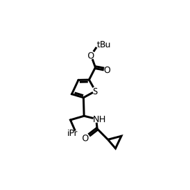 CC(C)CC(NC(=O)C1CC1)c1ccc(C(=O)OC(C)(C)C)s1